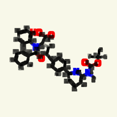 CN(C(=O)OC(C)(C)C)c1cccc(-c2ccc(CC[C@@H](C(=O)O)N(C(=O)c3ccccc3)c3ccccc3)cc2)n1